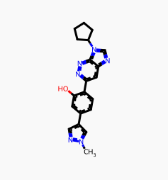 Cn1cc(-c2ccc(-c3cc4ncn(C5CCCC5)c4nn3)c(O)c2)cn1